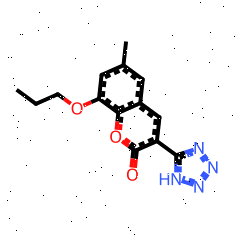 CCCOc1cc(C)cc2cc(-c3nnn[nH]3)c(=O)oc12